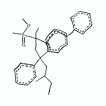 CCC(C)CC(CC(C)(C(=O)OCc1ccccc1)P(C)(=O)OC)(c1ccccc1)c1ccccc1